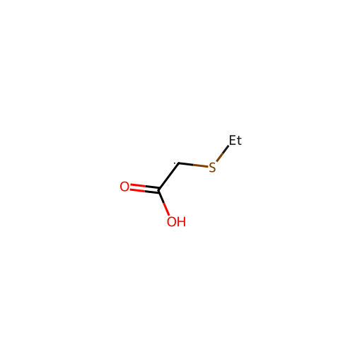 CCS[CH]C(=O)O